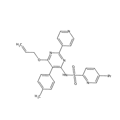 C=CCOc1nc(-c2ccncc2)nc(NS(=O)(=O)c2ccc(C(C)C)cn2)c1-c1ccc(C)cc1